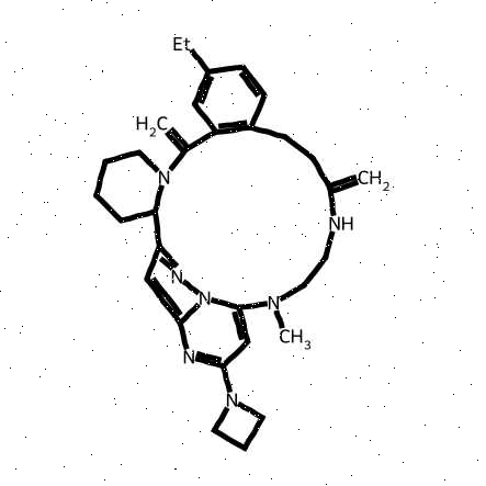 C=C1CCc2ccc(CC)cc2C(=C)N2CCCCC2c2cc3nc(N4CCC4)cc(n3n2)N(C)CCN1